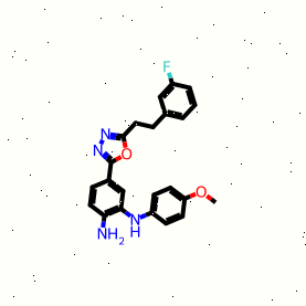 COc1ccc(Nc2cc(-c3nnc(CCc4cccc(F)c4)o3)ccc2N)cc1